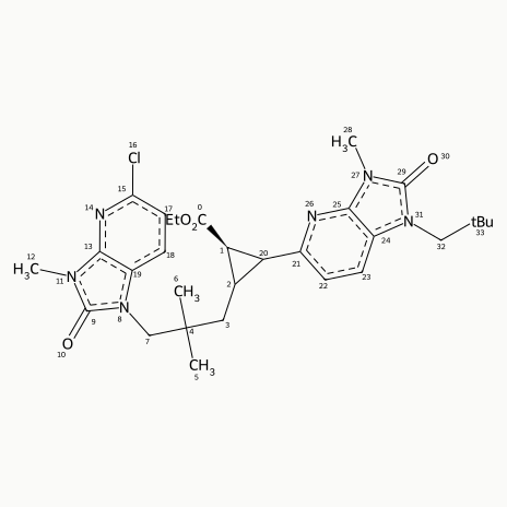 CCOC(=O)[C@@H]1C(CC(C)(C)Cn2c(=O)n(C)c3nc(Cl)ccc32)C1c1ccc2c(n1)n(C)c(=O)n2CC(C)(C)C